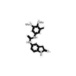 C=C(Nc1ccc2c(c1)CC(=O)N2)Nc1cc(C)c(OC)c(OC)c1